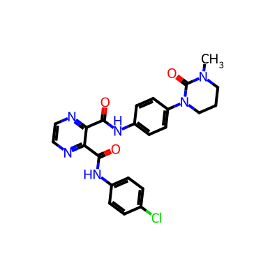 CN1CCCN(c2ccc(NC(=O)c3nccnc3C(=O)Nc3ccc(Cl)cc3)cc2)C1=O